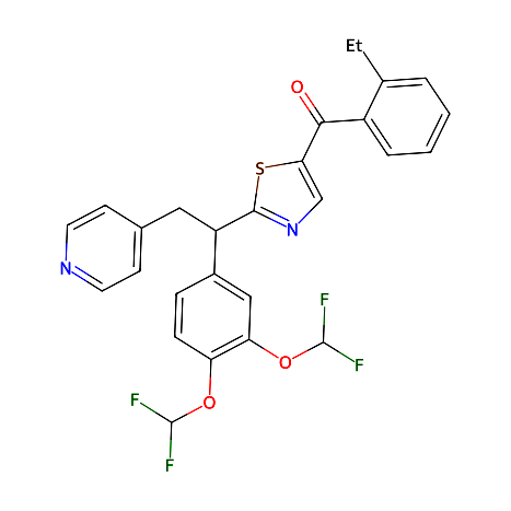 CCc1ccccc1C(=O)c1cnc(C(Cc2ccncc2)c2ccc(OC(F)F)c(OC(F)F)c2)s1